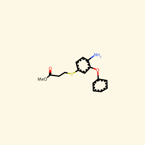 COC(=O)CCSc1ccc(N)c(Oc2ccccc2)c1